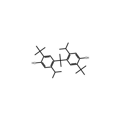 CC(C)c1cc(O)c(C(C)(C)C)cc1C(C)(C)c1cc(C(C)(C)C)c(O)cc1C(C)C